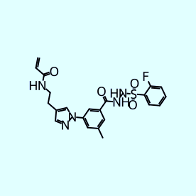 C=CC(=O)NCCc1cnn(-c2cc(C)cc(C(=O)NNS(=O)(=O)c3ccccc3F)c2)c1